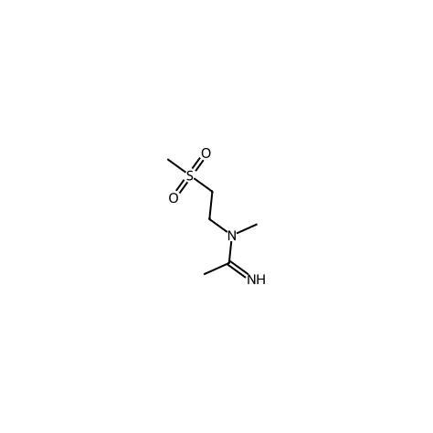 CC(=N)N(C)CCS(C)(=O)=O